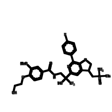 COc1cc(C(=O)NCC(O)(c2cc3c(c(-c4ccc(F)cc4)n2)OCC3C[SH](N)(=O)C(C)(C)C)C(F)(F)F)ccc1OCCO